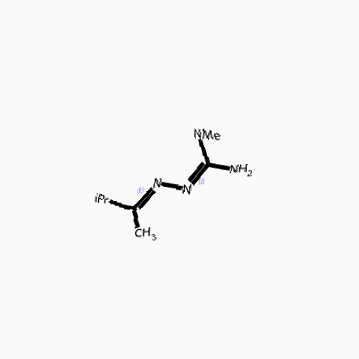 CN/C(N)=N\N=C(/C)C(C)C